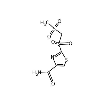 CS(=O)(=O)CS(=O)(=O)c1nc(C(N)=O)cs1